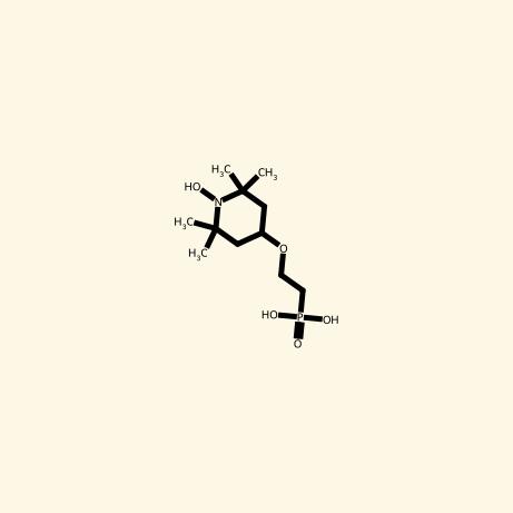 CC1(C)CC(OCCP(=O)(O)O)CC(C)(C)N1O